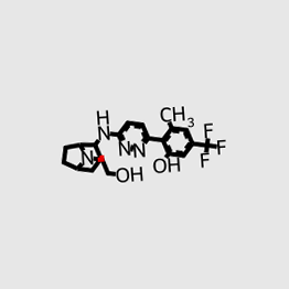 Cc1cc(C(F)(F)F)cc(O)c1-c1ccc(NC2CCC3CCC2N3CCO)nn1